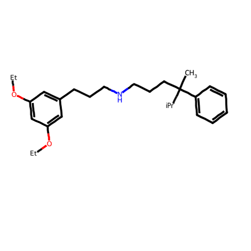 CCOc1cc(CCCNCCCC(C)(c2ccccc2)C(C)C)cc(OCC)c1